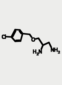 NCC(N)COCc1ccc(Cl)cc1